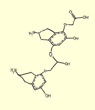 NC1Cc2cc(O)cc(OCC(O)Oc3cc(O)c(OCC(=O)O)c4c3CC(N)C4)c2C1